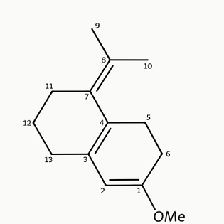 COC1=CC2=C(CC1)C(=C(C)C)CCC2